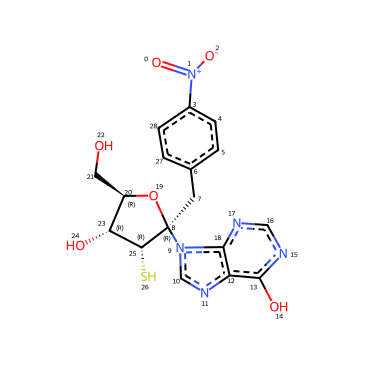 O=[N+]([O-])c1ccc(C[C@@]2(n3cnc4c(O)ncnc43)O[C@H](CO)[C@@H](O)[C@H]2S)cc1